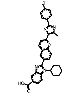 Cc1nc(-c2ccc(Cl)cc2)sc1-c1ccc2cc(-c3nc4cc(C(=O)O)ccc4n3C3CCCCC3)ccc2n1